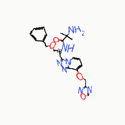 CC(C)(N)C(=O)N[C@H](COCc1ccccc1)c1nnc2c(OCc3ncon3)cccn12